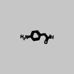 [2H]C(=O)Cc1ccc(N)cc1